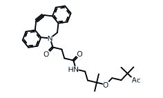 CC(=O)C(C)(C)CCOC(C)(C)CCNC(=O)CCC(=O)N1Cc2ccccc2C#Cc2ccccc21